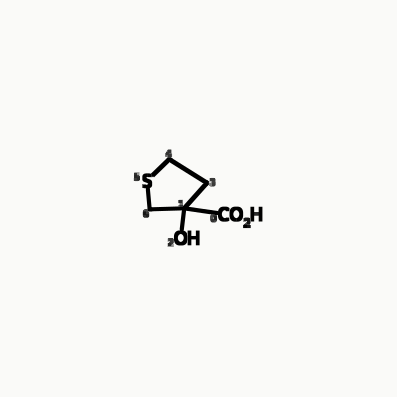 O=C(O)C1(O)CCSC1